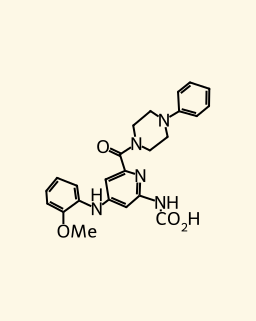 COc1ccccc1Nc1cc(NC(=O)O)nc(C(=O)N2CCN(c3ccccc3)CC2)c1